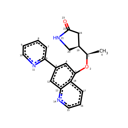 C[C@@H](Oc1cc(-c2ccccn2)cc2ncccc12)[C@H]1CNC(=O)C1